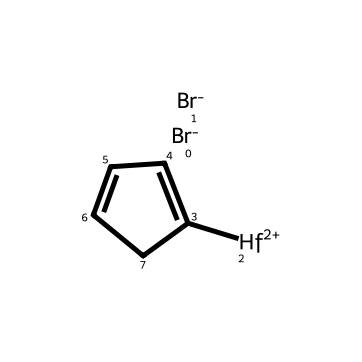 [Br-].[Br-].[Hf+2][C]1=CC=CC1